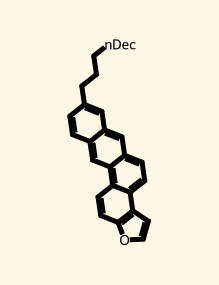 CCCCCCCCCCCCCc1ccc2cc3c(ccc4c5ccoc5ccc34)cc2c1